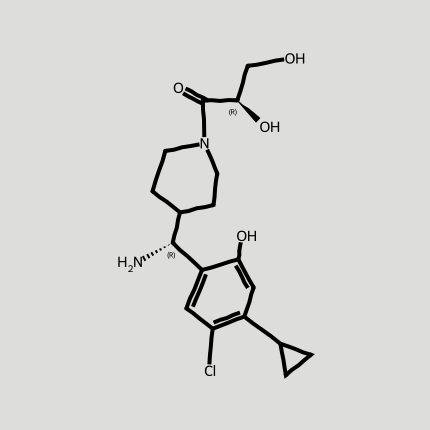 N[C@@H](c1cc(Cl)c(C2CC2)cc1O)C1CCN(C(=O)[C@H](O)CO)CC1